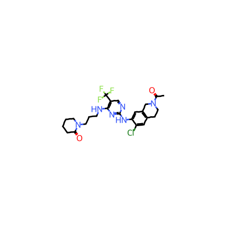 CC(=O)N1CCc2cc(Cl)c(Nc3ncc(C(F)(F)F)c(NCCCN4CCCCC4=O)n3)cc2C1